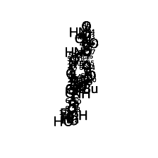 CC(C)(C)[C@H](NC(=O)c1cc2cc(C(F)(F)P(=O)(O)O)ccc2s1)C(=O)N1C[C@@H](OCCN2CCC(Nc3cccc4c3CN(C3CCC(=O)NC3=O)C4=O)CC2)C[C@H]1C(=O)N1CCO[C@H](c2ccccc2)C1